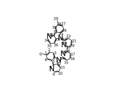 Cc1ccc2c(c1)c1ncccc1n2-c1cccc(-c2cccc(-n3c4ccc(C)cc4c4ncccc43)n2)n1